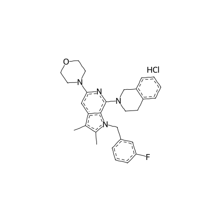 Cc1c(C)n(Cc2cccc(F)c2)c2c(N3CCc4ccccc4C3)nc(N3CCOCC3)cc12.Cl